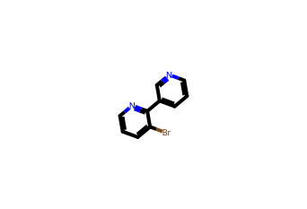 Brc1cccnc1-c1cccnc1